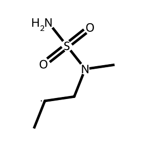 C[CH]CN(C)S(N)(=O)=O